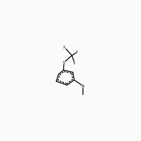 C[N]c1cccc(SC(F)(F)F)c1